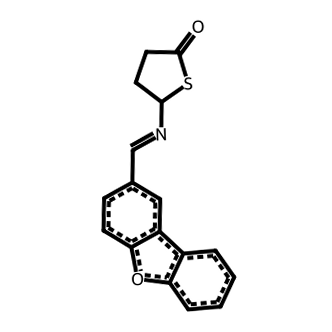 O=C1CCC(N=Cc2ccc3oc4ccccc4c3c2)S1